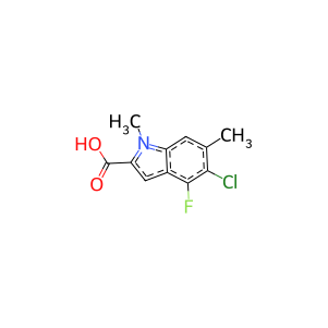 Cc1cc2c(cc(C(=O)O)n2C)c(F)c1Cl